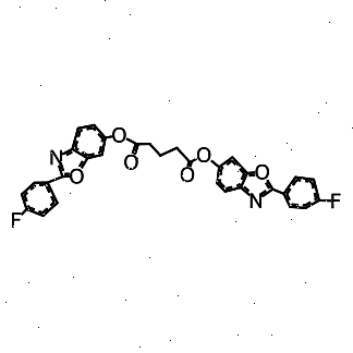 O=C(CCCC(=O)Oc1ccc2nc(-c3ccc(F)cc3)oc2c1)Oc1ccc2nc(-c3ccc(F)cc3)oc2c1